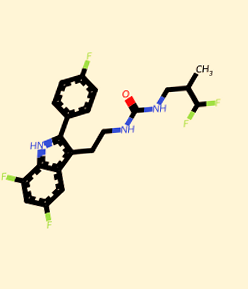 CC(CNC(=O)NCCc1c(-c2ccc(F)cc2)[nH]c2c(F)cc(F)cc12)C(F)F